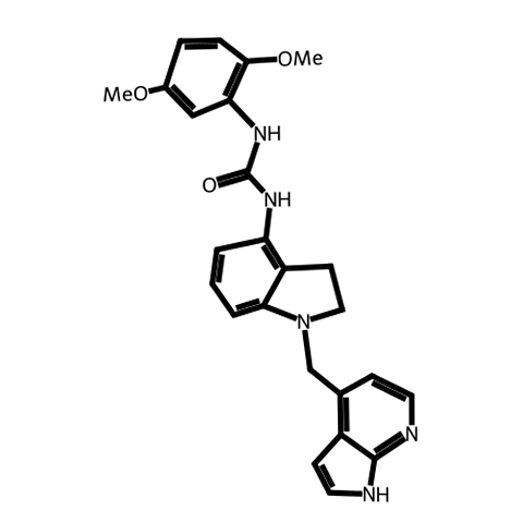 COc1ccc(OC)c(NC(=O)Nc2cccc3c2CCN3Cc2ccnc3[nH]ccc23)c1